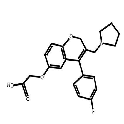 O=C(O)COc1ccc2c(c1)C(c1ccc(F)cc1)=C(CN1CCCC1)CO2